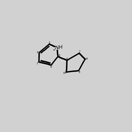 [C]1=CC=CNC1C1CCCC1